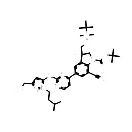 CC(C)CCn1nc(CO)cc1Nc1nccc(-c2cc(C#N)c3c(c2)[C@@](C)(CO[Si](C)(C)C(C)(C)C)CN3C(=O)OC(C)(C)C)n1